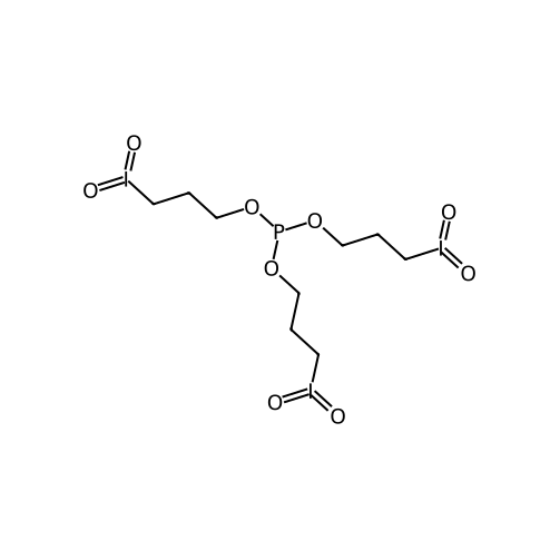 O=I(=O)CCCOP(OCCCI(=O)=O)OCCCI(=O)=O